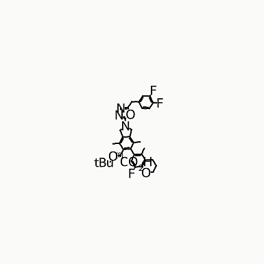 Cc1c(-c2c(C)c3c(c(C)c2[C@H](OC(C)(C)C)C(=O)O)CN(c2nnc(Cc4ccc(F)c(F)c4)o2)C3)cc(F)c2c1CCCO2